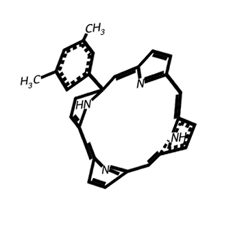 Cc1cc(C)cc(C23C=C4C=CC(=N4)C=c4ccc([nH]4)=CC4=NC(=CC(=CC2)N3)C=C4)c1